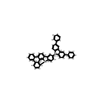 c1ccc(-c2ccc3c(c2)c2cc(-c4ccccc4)ccc2n3-c2ccc3c(c2)c2ccc4c5ccccc5c5cccc6c5c4c2n36)cc1